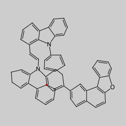 C1=CCCC(C2=CCCC=C2N(C=Cc2cccc3c4ccccc4n(-c4ccccc4)c23)C2=CC=C(c3ccc4ccc5oc6ccccc6c5c4c3)CC2)=C1